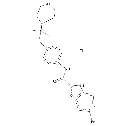 C[N+](C)(Cc1ccc(NC(=O)c2cc3cc(Br)ccc3[nH]2)cc1)C1CCOCC1.[Cl-]